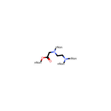 CCCCCCCCCOC(=O)CN(CCCCCCCCC)CCN(CCCCCCCCC)CCCCCCCCC